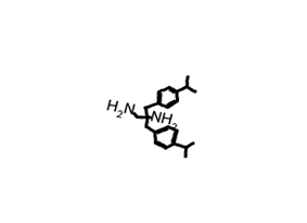 CC(C)c1ccc(CC(N)(CN)Cc2ccc(C(C)C)cc2)cc1